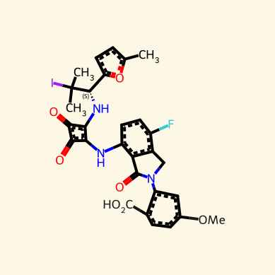 COc1ccc(C(=O)O)c(N2Cc3c(F)ccc(Nc4c(N[C@@H](c5ccc(C)o5)C(C)(C)I)c(=O)c4=O)c3C2=O)c1